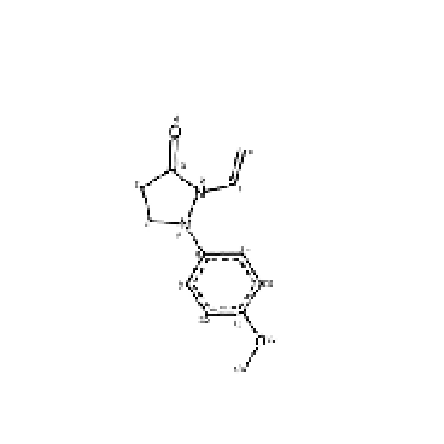 C=CN1C(=O)CCN1c1ccc(OC)cc1